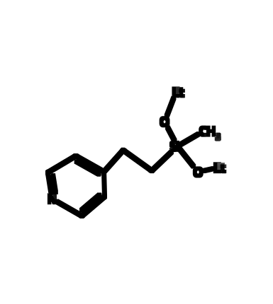 CCO[Si](C)(CCc1ccncc1)OCC